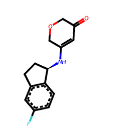 O=C1C=C(N[C@@H]2CCc3cc(F)ccc32)COC1